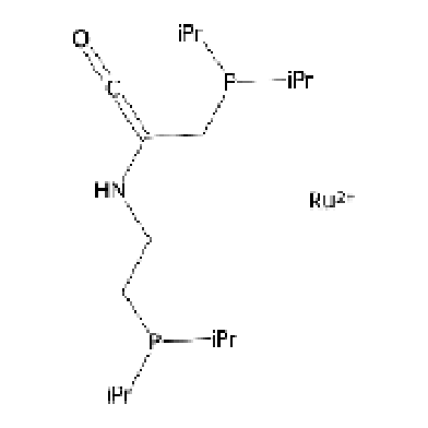 CC(C)P(CCNC(=C=O)CP(C(C)C)C(C)C)C(C)C.[Ru+2]